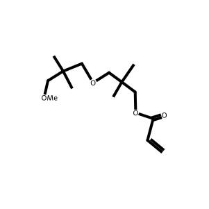 C=CC(=O)OCC(C)(C)COCC(C)(C)COC